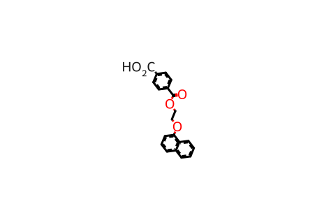 O=C(O)c1ccc(C(=O)OCCOc2cccc3ccccc23)cc1